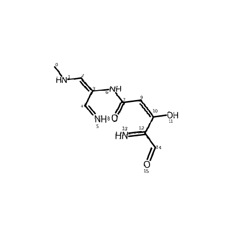 CN/C=C(\C=N)NC(=O)/C=C(/O)C(=N)C=O